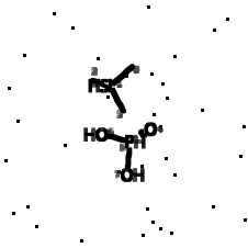 C[SiH](C)C.O=[PH](O)O